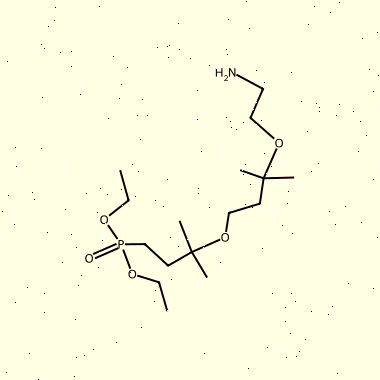 CCOP(=O)(CCC(C)(C)OCCC(C)(C)OCCN)OCC